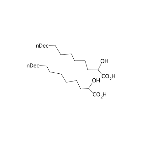 CCCCCCCCCCCCCCCCC(O)C(=O)O.CCCCCCCCCCCCCCCCC(O)C(=O)O